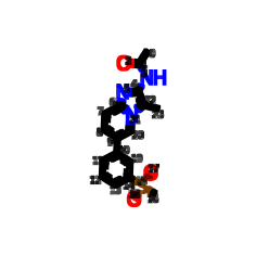 CC(=O)Nc1nc2ccc(-c3cccc(S(C)(=O)=O)c3)cn2c1C